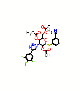 CC(=O)OCC1O[C@H](Sc2cccc(C#N)c2)C(OC(C)=O)[C@@H](n2cc(-c3cc(F)c(F)c(F)c3)nn2)[C@H]1OC(C)=O